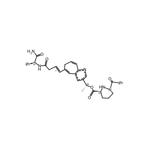 CC(C)C(=O)N1CCC[C@@H](C(=O)O[C@H](C)c2cnc3c(c2)C=C(/C=C/CC(=O)N[C@H](C(N)=O)C(C)C)CC=C3)N1